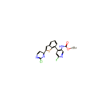 CC(C)(C)OC(=O)Nc1cnc(F)cc1-c1cccc2cc(-c3ccnc(Cl)n3)sc12